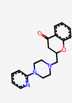 O=C1CC(CN2CCN(c3ccccn3)CC2)Oc2ccccc21